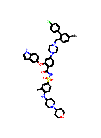 Cc1cc(S(=O)(=O)NC(=O)c2ccc(N3CCN(Cc4ccc(C(C)(C)C)cc4-c4ccc(Cl)cc4)CC3)cc2Oc2ccc3[nH]ccc3c2)ccc1NC1CCN(C2CCOCC2)CC1